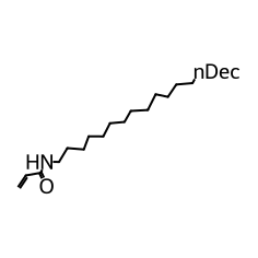 C=CC(=O)NCCCCCCCCCCCCCCCCCCCCCCC